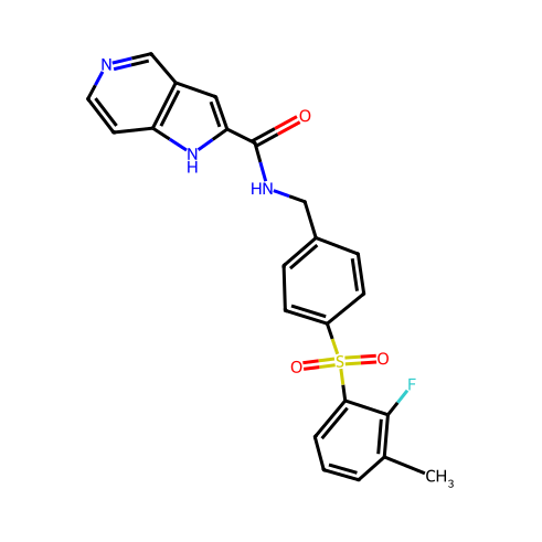 Cc1cccc(S(=O)(=O)c2ccc(CNC(=O)c3cc4cnccc4[nH]3)cc2)c1F